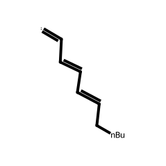 [C]=CC=CC=CCCCCC